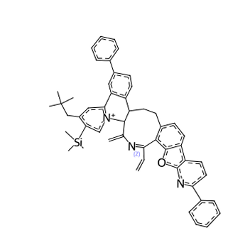 C=C/C1=N/C(=C)C2C(CCc3ccc4c(oc5nc(-c6ccccc6)ccc54)c31)c1ccc(-c3ccccc3)cc1-c1cc(CC(C)(C)C)c([Si](C)(C)C)c[n+]12